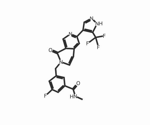 CNC(=O)c1cc(F)cc(Cn2ccc3cc(-c4cn[nH]c4C(F)(F)F)ncc3c2=O)c1